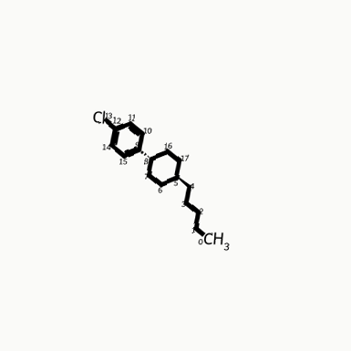 CCCCC[C@H]1CC[C@H](c2ccc(Cl)cc2)CC1